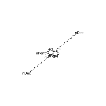 CCCCCCCCCCCCCCCCCCOC[C@@H](OCCCCC)[C@@H](O)[C@H](O)[C@@H](COCCCCCCCCCCCCCCCCCC)OCCCCC